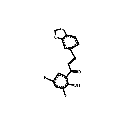 O=C(C=Cc1ccc2c(c1)OCO2)c1cc(F)cc(F)c1O